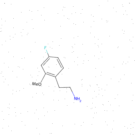 COc1cc(F)ccc1CCN